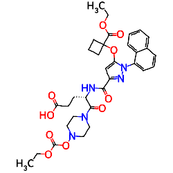 CCOC(=O)ON1CCN(C(=O)[C@H](CCC(=O)O)NC(=O)c2cc(OC3(C(=O)OCC)CCC3)n(-c3cccc4ccccc34)n2)CC1